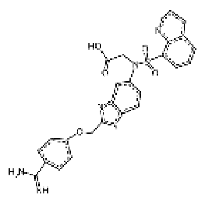 N=C(N)c1ccc(OCc2nc3cc(N(CC(=O)O)S(=O)(=O)c4cccc5cccnc45)ccc3s2)cc1